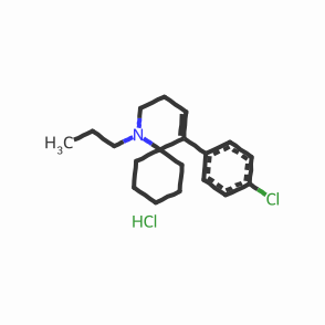 CCCN1CCC=C(c2ccc(Cl)cc2)C12CCCCC2.Cl